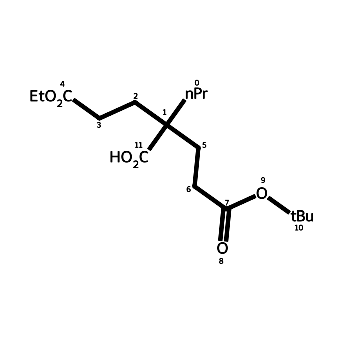 [CH2]CCC(CCC(=O)OCC)(CCC(=O)OC(C)(C)C)C(=O)O